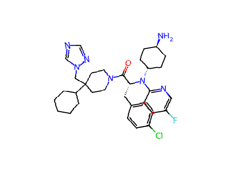 N[C@H]1CC[C@H](N(c2ccc(F)cn2)[C@H](Cc2ccc(Cl)cc2)C(=O)N2CCC(Cn3cncn3)(C3CCCCC3)CC2)CC1